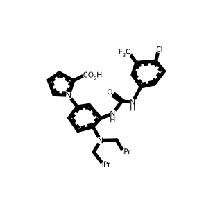 CC(C)CN(CC(C)C)c1ccc(-n2cccc2C(=O)O)cc1NC(=O)Nc1ccc(Cl)c(C(F)(F)F)c1